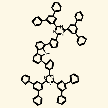 Cn1c2c(-c3cccc(-c4nc(-c5cc(-c6ccccc6)cc(-c6ccccc6)c5)nc(-c5cc(-c6ccccc6)cc(-c6ccccc6)c5)n4)c3)cccc2c2cccc(-c3cccc(-c4nc(-c5cc(-c6ccccc6)cc(-c6ccccc6)c5)nc(-c5cc(-c6ccccc6)cc(-c6ccccc6)c5)n4)c3)c21